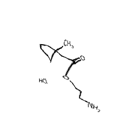 CC1(C(=O)OCCN)CC1.Cl